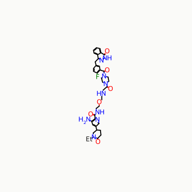 CCN1CC(c2cnc(C(=O)NCCOCCNCC(=O)N3CCN(C(=O)c4cc(Cc5n[nH]c(=O)c6ccccc56)ccc4F)CC3)c(N)c2)CCC1=O